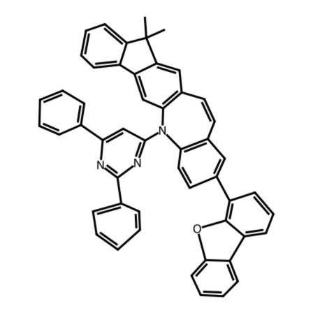 CC1(C)c2ccccc2-c2cc3c(cc21)C=Cc1cc(-c2cccc4c2oc2ccccc24)ccc1N3c1cc(-c2ccccc2)nc(-c2ccccc2)n1